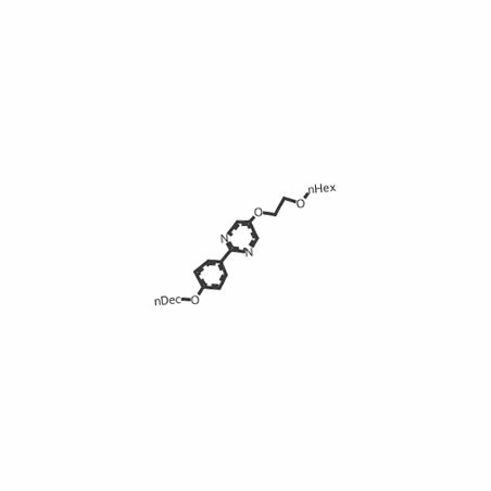 CCCCCCCCCCOc1ccc(-c2ncc(OCCOCCCCCC)cn2)cc1